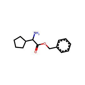 NC(C(=O)OCc1ccccc1)C1CCCC1